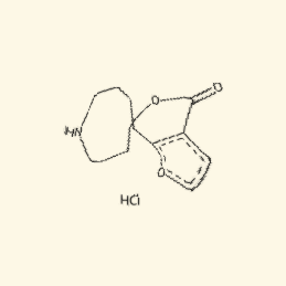 Cl.O=C1OC2(CCNCC2)c2occc21